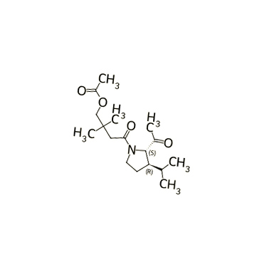 CC(=O)OCC(C)(C)CC(=O)N1CC[C@H](C(C)C)[C@H]1C(C)=O